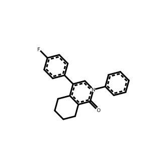 O=c1c2c(c(-c3ccc(F)cc3)cn1-c1ccccc1)CCCC2